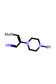 CN/C=C(\C=N)N1CCN(C(C)C)CC1